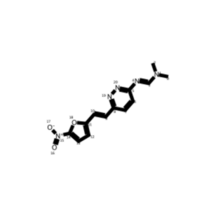 CN(C)/C=N/c1ccc(/C=C/c2ccc([N+](=O)[O-])o2)nn1